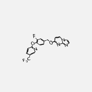 Fc1cc(COc2ccn3ccnc3n2)ccc1Oc1ccc(C(F)(F)F)cn1